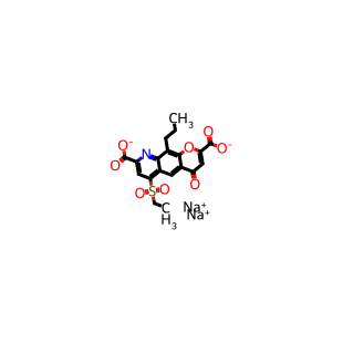 CCCc1c2nc(C(=O)[O-])cc(S(=O)(=O)CC)c2cc2c(=O)cc(C(=O)[O-])oc12.[Na+].[Na+]